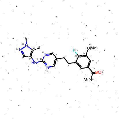 CNC(=O)c1cc(CCc2cnc(Nc3cnn(C)c3C)nc2)c(F)c(OC)c1